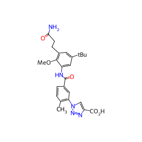 COc1c(CCC(N)=O)cc(C(C)(C)C)cc1NC(=O)c1ccc(C)c(-n2cc(C(=O)O)nn2)c1